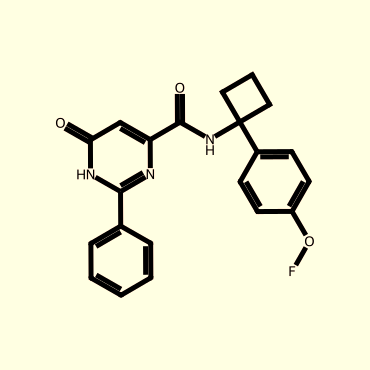 O=C(NC1(c2ccc(OF)cc2)CCC1)c1cc(=O)[nH]c(-c2ccccc2)n1